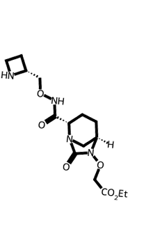 CCOC(=O)CON1C(=O)N2C[C@H]1CC[C@H]2C(=O)NOC[C@H]1CCN1